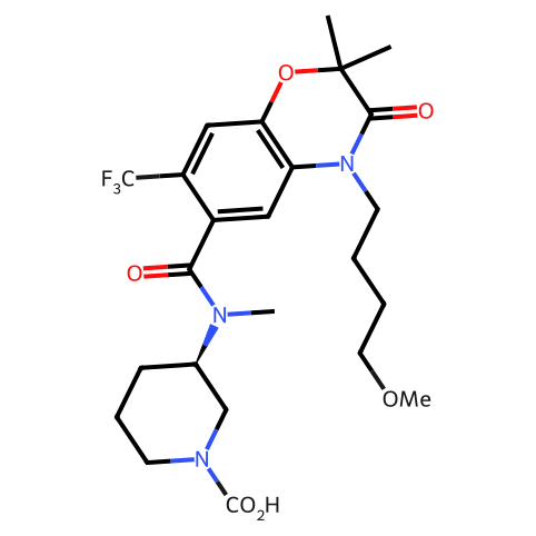 COCCCCN1C(=O)C(C)(C)Oc2cc(C(F)(F)F)c(C(=O)N(C)[C@@H]3CCCN(C(=O)O)C3)cc21